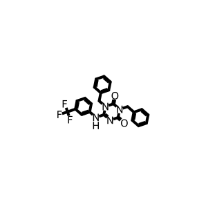 O=c1nc(Nc2cccc(C(F)(F)F)c2)n(Cc2ccccc2)c(=O)n1Cc1ccccc1